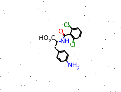 Nc1ccc(CC(NC(=O)c2c(Cl)cccc2Cl)C(=O)O)cc1